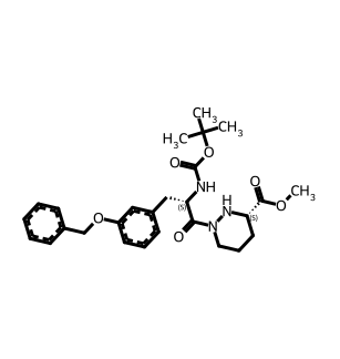 COC(=O)[C@@H]1CCCN(C(=O)[C@H](Cc2cccc(OCc3ccccc3)c2)NC(=O)OC(C)(C)C)N1